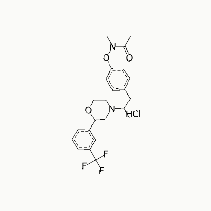 CC(=O)N(C)Oc1ccc(CC(C)N2CCOC(c3cccc(C(F)(F)F)c3)C2)cc1.Cl